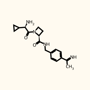 CC(=N)c1ccc(CNC(=O)[C@@H]2CCN2C(=O)[C@H](N)C2CC2)cc1